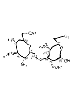 CC(=O)N[C@@H]1[C@@H](O)[C@H](O)[C@@H](CO)O[C@@H]1O.N[C@@H]1[C@@H](O)[C@H](O)[C@@H](CO)O[C@H]1O